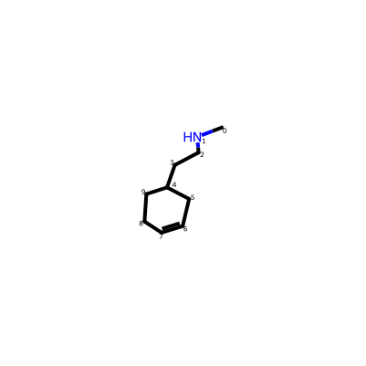 CNCCC1CC=CCC1